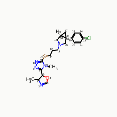 CC1N=COC1c1nnc(SCCCN2C[C@H]3C[C@@]3(c3ccc(Cl)cc3)C2)n1C